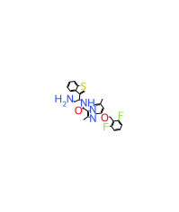 Cc1cc(OCc2c(F)cccc2F)c2nc(C)c(C(=O)NC(CN)c3csc4ccccc34)n2c1